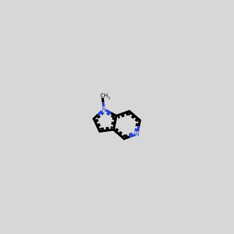 Cn1ccc2[c]nccc21